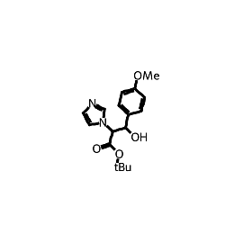 COc1ccc(C(O)C(C(=O)OC(C)(C)C)n2ccnc2)cc1